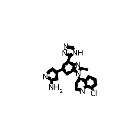 Cc1nc2c(-c3nnc[nH]3)cc(-c3ccnc(N)c3)cc2n1-c1ccnc2c(Cl)cccc12